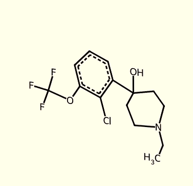 CCN1CCC(O)(c2cccc(OC(F)(F)F)c2Cl)CC1